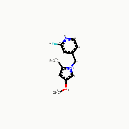 CCOC(=O)c1cc(OC=O)cn1Cc1ccnc(F)c1